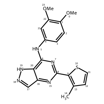 COc1ccc(Nc2nc(-c3sccc3C)nc3cn[nH]c23)cc1OC